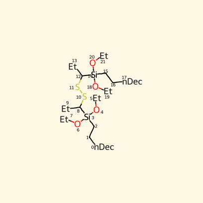 CCCCCCCCCCCC[Si](OCC)(OCC)C(CC)SSC(CC)[Si](CCCCCCCCCCCC)(OCC)OCC